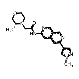 C[C@@H]1COCCN1CC(=O)Nc1cc2cc(-c3cnn(C)c3)ncc2cn1